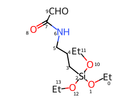 CCO[Si](CCCNC(=O)C=O)(OCC)OCC